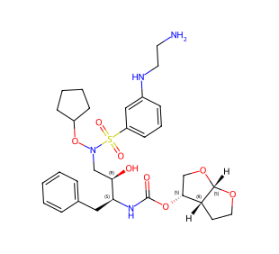 NCCNc1cccc(S(=O)(=O)N(C[C@@H](O)[C@H](Cc2ccccc2)NC(=O)O[C@@H]2CO[C@@H]3OCC[C@@H]32)OC2CCCC2)c1